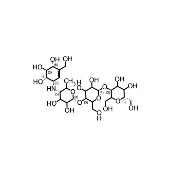 CC1O[C@H](O[C@@H]2C(CO)O[C@H](O[C@@H]3C(CO)O[C@@H](CO)C(O)C3O)C(O)C2O)C(O)C(O)[C@@H]1N[C@H]1C=C(CO)[C@@H](O)[C@H](O)[C@H]1O